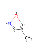 Cc1[c]onc1